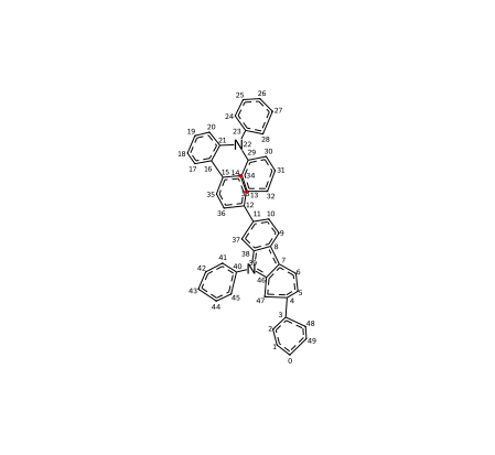 c1ccc(-c2ccc3c4ccc(-c5ccc(-c6ccccc6N(c6ccccc6)c6ccccc6)cc5)cc4n(-c4ccccc4)c3c2)cc1